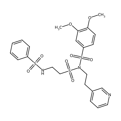 COc1ccc(S(=O)(=O)N(CCc2cccnc2)S(=O)(=O)CCNS(=O)(=O)c2ccccc2)cc1OC